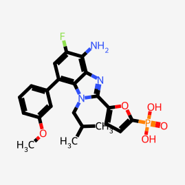 COc1cccc(-c2cc(F)c(N)c3nc(-c4ccc(P(=O)(O)O)o4)n(CC(C)C)c23)c1